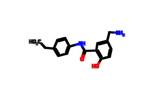 NCc1ccc(O)c(C(=O)Nc2ccc(CC(=O)O)cc2)c1